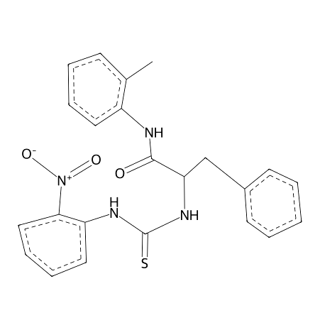 Cc1ccccc1NC(=O)C(Cc1ccccc1)NC(=S)Nc1ccccc1[N+](=O)[O-]